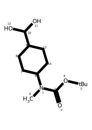 CN(C(=O)OC(C)(C)C)C1CCC(C(O)O)CC1